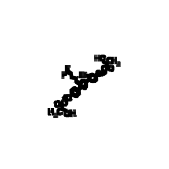 C=C(CO)C(=O)O/C=C\Oc1ccc(-c2ccc(-c3ccc(O/C=C\OC(=O)C(=C)CO)cc3CC)cc2CCCC=C(F)F)cc1